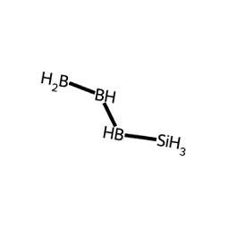 BBB[SiH3]